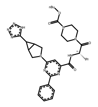 CCCCOC(=O)N1CCN(C(=O)[C@@H](NC(=O)c2cc(N3CC4C(C3)C4c3nnn[nH]3)nc(-c3ccccc3)n2)C(C)C)CC1